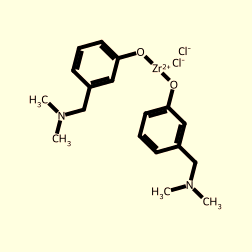 CN(C)Cc1cccc([O][Zr+2][O]c2cccc(CN(C)C)c2)c1.[Cl-].[Cl-]